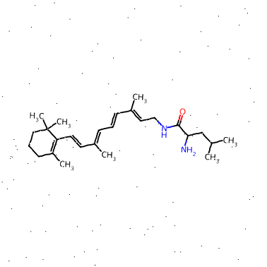 CC(C=CC1=C(C)CCCC1(C)C)=CC=CC(C)=CCNC(=O)C(N)CC(C)C